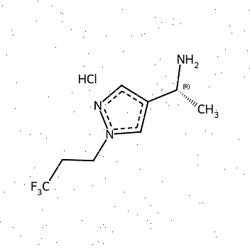 C[C@@H](N)c1cnn(CCC(F)(F)F)c1.Cl